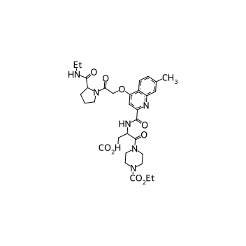 CCNC(=O)C1CCCN1C(=O)COc1cc(C(=O)NC(CC(=O)O)C(=O)N2CCN(C(=O)OCC)CC2)nc2cc(C)ccc12